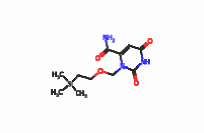 C[Si](C)(C)CCOCn1c(C(N)=O)cc(=O)[nH]c1=O